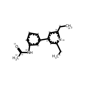 CCc1cc(-c2cccc(NC(C)=O)c2)cc(CC)n1